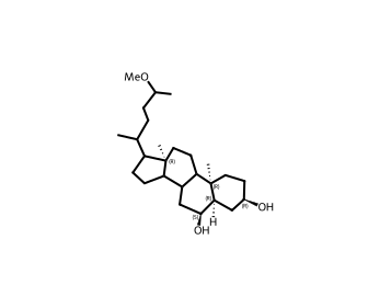 COC(C)CCC(C)C1CCC2C3C[C@H](O)[C@@H]4C[C@H](O)CC[C@]4(C)C3CC[C@]12C